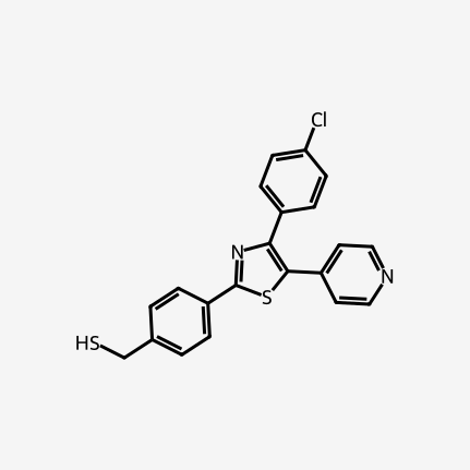 SCc1ccc(-c2nc(-c3ccc(Cl)cc3)c(-c3ccncc3)s2)cc1